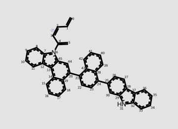 C=C/C=C\C(=C)n1c2ccccc2c2c3ccccc3c(-c3ccc(-c4ccc5c(c4)[nH]c4ccccc45)c4ccccc34)cc21